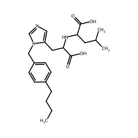 CCCCc1ccc(Cn2cncc2CC(NC(CC(C)C)C(=O)O)C(=O)O)cc1